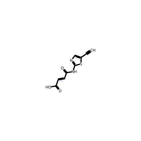 C#Cc1cnc(NC(=O)/C=C/C(=O)O)s1